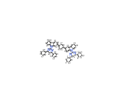 c1ccc(-c2cc(-c3ccccc3)nc(-n3c4ccccc4c4cc(-c5ccc(-c6ccc7c8ccccc8n(-c8nc(-c9ccccc9)cc(-c9ccccc9)n8)c7c6)cc5)ccc43)n2)cc1